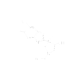 CCCCCCN1CC(O)[N+]([O-])(c2nc3cc(CC)c(CC)cc3s2)C1